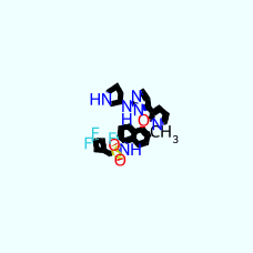 Cc1ccc2c(NS(=O)(=O)CC3CC(F)(F)C3)c(F)ccc2c1Oc1ncccc1-c1ccnc(N[C@H]2CCCNC2)n1